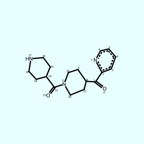 O=C(c1ccccn1)C1CCN(C(=O)C2CCNCC2)CC1